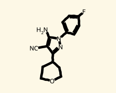 N#Cc1c(C2CCOCC2)nn(-c2ccc(F)cc2)c1N